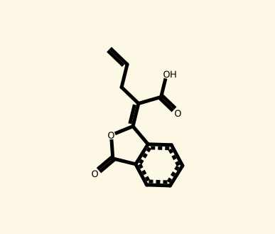 C=CCC(C(=O)O)=C1OC(=O)c2ccccc21